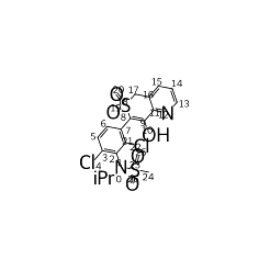 CC(C)N(c1c(Cl)ccc(C2=C(O)c3ncccc3CS2(=O)=O)c1Cl)S(C)(=O)=O